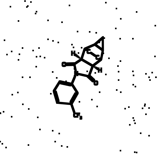 O=C1[C@@H]2C3CCC(C4CC43)[C@@H]2C(=O)N1c1cccc(C(F)(F)F)c1